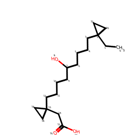 CCC1(CCCCC(O)CCCCC2(CC(=O)O)CC2)CC1